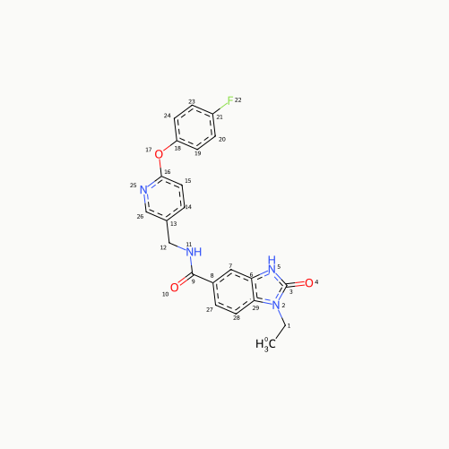 CCn1c(=O)[nH]c2cc(C(=O)NCc3ccc(Oc4ccc(F)cc4)nc3)ccc21